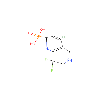 Cl.O=P(O)(O)c1ccc2c(n1)C(F)(F)CNC2